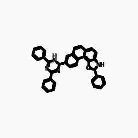 c1ccc(C2=NC(c3ccc4c(ccc5ccc6c(c54)OC(c4ccccc4)N6)c3)NC(c3ccccc3)=N2)cc1